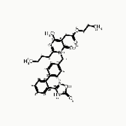 CCCCc1nc(C)c(CC(=O)OCCC)c(=O)n1Cc1ccc(-c2ccccc2-c2noc(=O)[nH]2)cc1